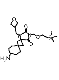 C[Si](C)(C)CCOCN1C(=O)N(CC2COC2)C2(CC3(CCC(N)CC3)C2)C1=O